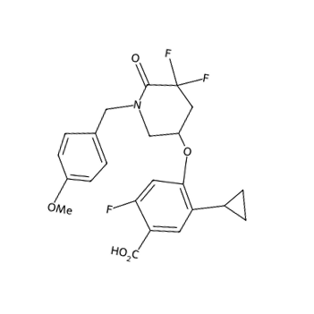 COc1ccc(CN2CC(Oc3cc(F)c(C(=O)O)cc3C3CC3)CC(F)(F)C2=O)cc1